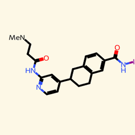 CNCCC(=O)Nc1cc(C2CCc3cc(C(=O)NI)ccc3C2)ccn1